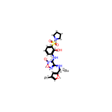 CC(C)c1coc([C@H](Nc2no[n+]([O-])c2Nc2cccc(S(=O)(=O)N3CCCC3)c2O)C(C)(C)C)c1